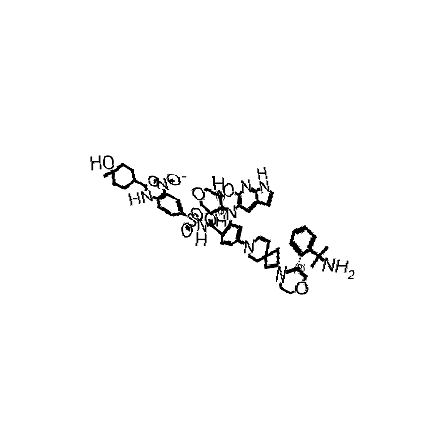 CC1(O)CCC(CNc2ccc(S(=O)(=O)NC(=O)c3ccc(N4CCC5(CC4)CC(N4CCOC[C@H]4c4ccccc4C(C)(C)N)C5)cc3N3c4cc5cc[nH]c5nc4O[C@H]4COCC[C@@H]43)cc2[N+](=O)[O-])CC1